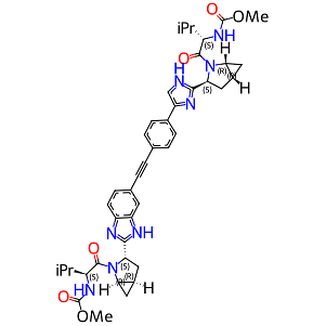 COC(=O)N[C@H](C(=O)N1[C@@H]2C[C@@H]2C[C@H]1c1nc(-c2ccc(C#Cc3ccc4nc([C@@H]5C[C@H]6C[C@H]6N5C(=O)[C@@H](NC(=O)OC)C(C)C)[nH]c4c3)cc2)c[nH]1)C(C)C